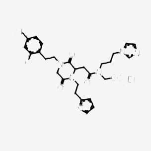 CCOC(=O)CN(CCCn1ccnc1)C(=O)CC1C(=O)N(CCc2ccc(Cl)cc2Cl)CC(=O)N1CCc1cccs1